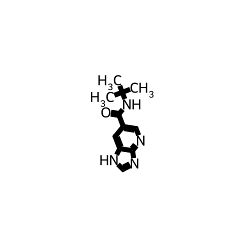 CC(C)(C)NC(=O)c1cnc2nc[nH]c2c1